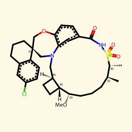 CO[C@H]1CCC[C@H](C)[C@@H](C)S(=O)(=O)NC(=O)c2ccc3c(c2)N(C[C@@H]2CC[C@H]21)C[C@@]1(CCCc2cc(Cl)ccc21)CO3